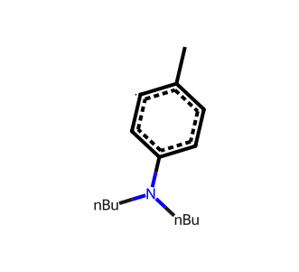 CCCCN(CCCC)c1c[c]c(C)cc1